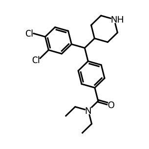 CCN(CC)C(=O)c1ccc(C(c2ccc(Cl)c(Cl)c2)C2CCNCC2)cc1